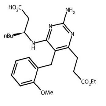 CCCC[C@@H](CC(=O)O)Nc1nc(N)nc(CCC(=O)OCC)c1Cc1ccccc1OC